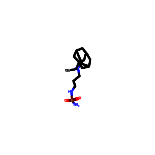 CC(C)(C)CC12CC3CC(C1)C(NCCCNS(N)(=O)=O)C(C3)C2